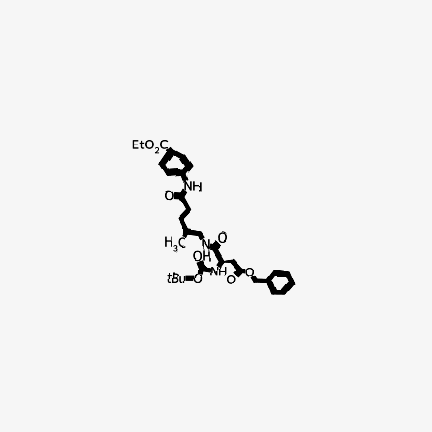 CCOC(=O)c1ccc(NC(=O)CCC(C)CNC(=O)[C@@H](CC(=O)OCc2ccccc2)NC(=O)OC(C)(C)C)cc1